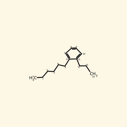 CCCCCCc1ccccc1CCC